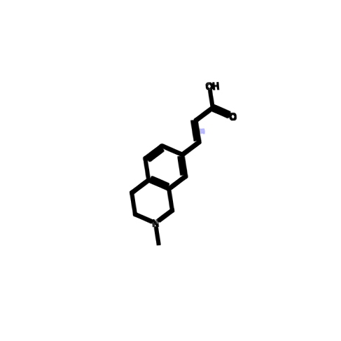 CN1CCc2ccc(/C=C/C(=O)O)cc2C1